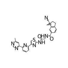 Cc1cc(-c2cccc(-c3csc(NC(=O)CNC(=O)c4ccc5c(c4)[C@](C)(C#N)CC5)n3)n2)ncn1